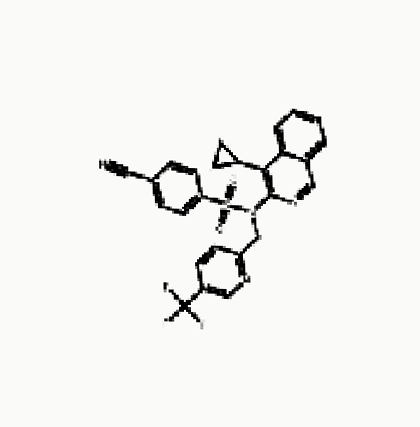 N#Cc1ccc(S(=O)(=O)N(Cc2ccc(C(F)(F)F)cn2)c2ncc3ccccc3c2C2CC2)cc1